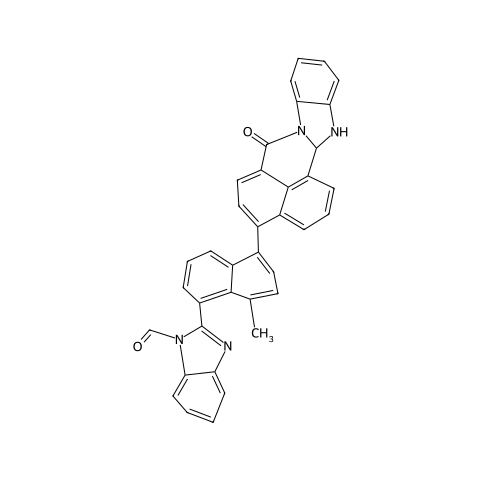 Cc1ccc(-c2ccc3c4c(cccc24)C2Nc4ccccc4N2C3=O)c2cccc(-c3nc4ccccc4n3C=O)c12